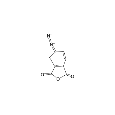 [N-]=[N+]=C1C=CC2=C(C1)C(=O)OC2=O